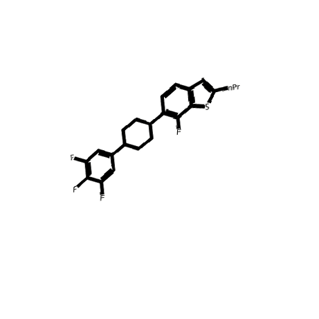 CCCc1cc2ccc(C3CCC(c4cc(F)c(F)c(F)c4)CC3)c(F)c2s1